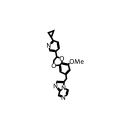 COc1cc(Cc2cnc3cnccn23)cc2c1OC(c1ccc(C3CC3)nc1)CO2